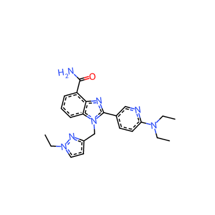 CCN(CC)c1ccc(-c2nc3c(C(N)=O)cccc3n2Cc2ccn(CC)n2)cn1